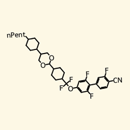 CCCCCC1CCC(C2COC(C3CCC(C(F)(F)Oc4cc(F)c(-c5ccc(C#N)c(F)c5)c(F)c4)CC3)OC2)CC1